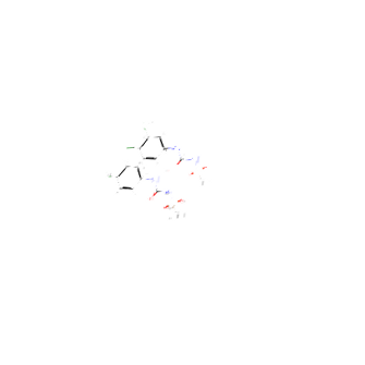 CC(C)S(=O)(=O)NC(=O)Nc1ccc(Cl)c(Cl)c1.CCC(C)S(=O)(=O)NC(=O)Nc1ccc(F)cc1